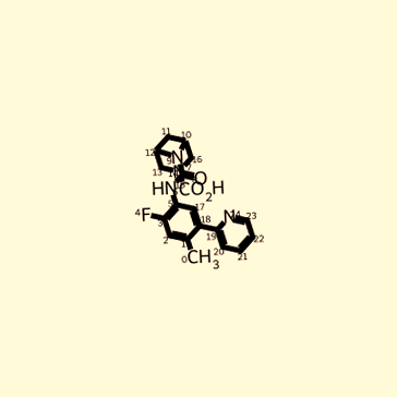 Cc1cc(F)c(NC(=O)N2C3CC2CN(C(=O)O)C3)cc1-c1ccccn1